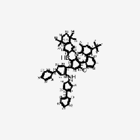 Cc1cc(C(C)(C)C)ccc1N1c2cc3c(cc2Bc2c(-c4ccc(-c5ccccc5)cc4Nc4ccc(-c5ccccc5)cc4)cc4oc5ccccc5c4c21)C(C)(C)CCC3(C)C